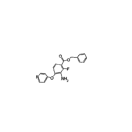 Nc1c(Oc2ccncc2)ccc(C(=O)OCc2ccccc2)c1F